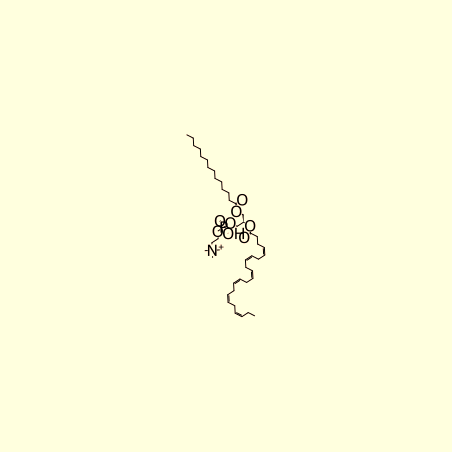 CC/C=C\C/C=C\C/C=C\C/C=C\C/C=C\C/C=C\CCC(=O)O[C@H](COC(=O)CCCCCCCCCCCCC)COP(=O)(O)OCC[N+](C)(C)C